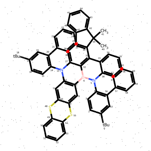 CC(C)(C)c1ccc(N2B3c4cc5c(cc4N(c4ccc(C(C)(C)C)cc4-c4ccccc4)c4cc6c(c(c43)-c3ccccc32)C(C)(C)c2ccccc2-6)Sc2ccccc2S5)c(-c2ccccc2)c1